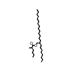 CCCCCCCCCCCCCCC(CCCCCCCC)COC(=O)C(C)CCCC